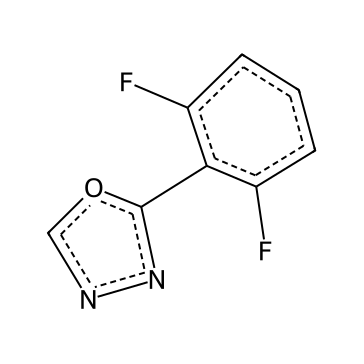 Fc1cccc(F)c1-c1nnco1